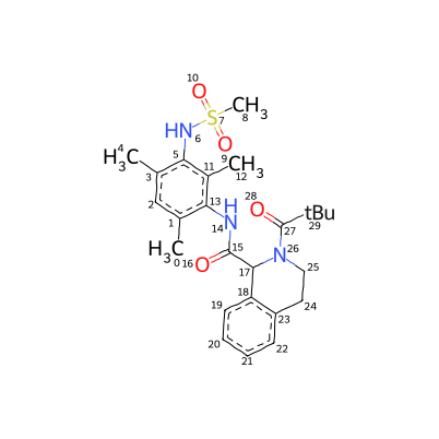 Cc1cc(C)c(NS(C)(=O)=O)c(C)c1NC(=O)C1c2ccccc2CCN1C(=O)C(C)(C)C